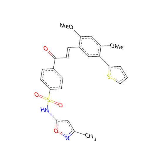 COc1cc(OC)c(-c2cccs2)cc1/C=C/C(=O)c1ccc(S(=O)(=O)Nc2cc(C)no2)cc1